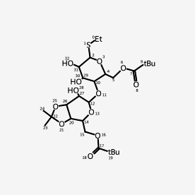 CCSC1OC(COC(=O)C(C)(C)C)C(OC2OC(COC(=O)C(C)(C)C)C3OC(C)(C)OC3C2O)C(O)C1O